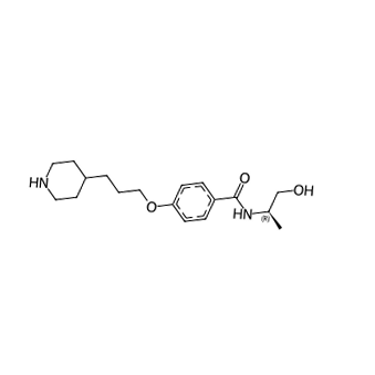 C[C@H](CO)NC(=O)c1ccc(OCCCC2CCNCC2)cc1